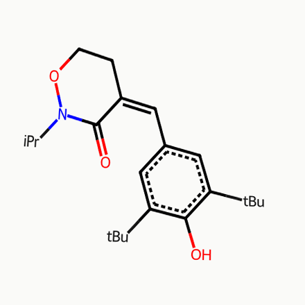 CC(C)N1OCCC(=Cc2cc(C(C)(C)C)c(O)c(C(C)(C)C)c2)C1=O